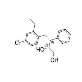 CCc1cc(Cl)ccc1C[C@H](c1ccccc1)[C@@H](O)CO